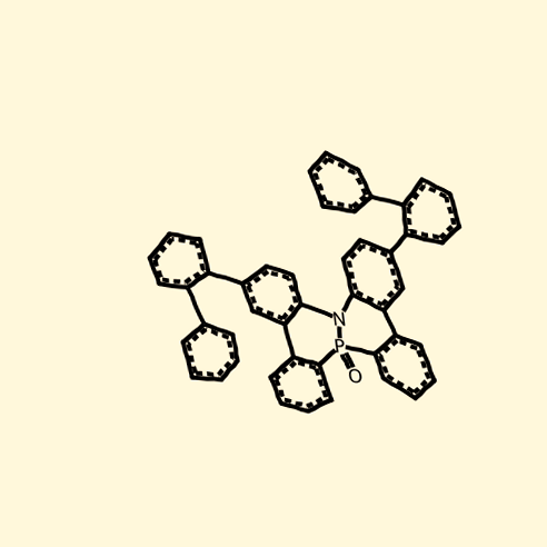 O=P12c3ccccc3-c3cc(-c4ccccc4-c4ccccc4)ccc3N1c1ccc(-c3ccccc3-c3ccccc3)cc1-c1ccccc12